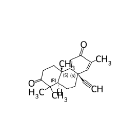 C#C[C@]12C=C(C)C(=O)C=C1[C@@]1(C)CCC(=O)C(C)(C)[C@@H]1CC2